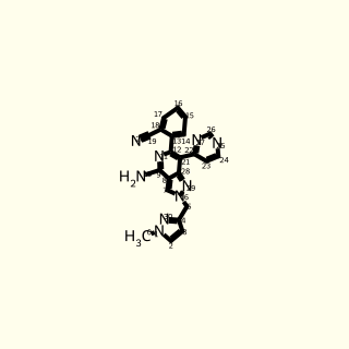 Cn1ccc(Cn2cc3c(N)nc(-c4ccccc4C#N)c(-c4ccncn4)c3n2)n1